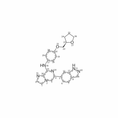 c1cn2cc(-c3ccc4cn[nH]c4c3)nc(Nc3ccc(OC[C@H]4CCCO4)cc3)c2n1